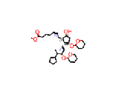 COC(=O)CCC/C=C\C[C@@H]1[C@@H](/C=C/C(OC2CCCCO2)C(C)C2CCCC2)[C@H](OC2CCCCO2)C[C@@H]1O